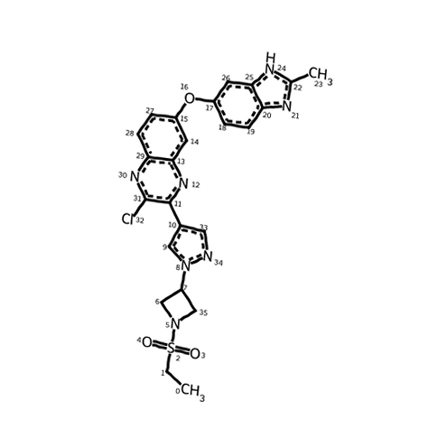 CCS(=O)(=O)N1CC(n2cc(-c3nc4cc(Oc5ccc6nc(C)[nH]c6c5)ccc4nc3Cl)cn2)C1